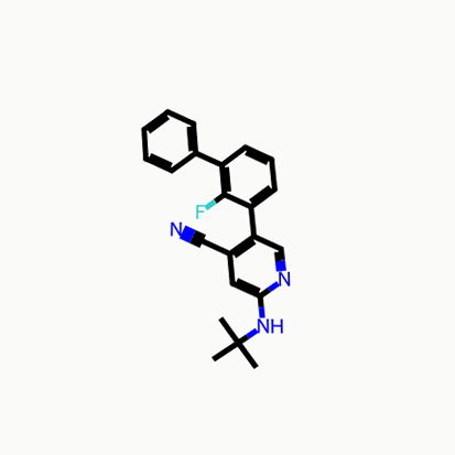 CC(C)(C)Nc1cc(C#N)c(-c2cccc(-c3ccccc3)c2F)cn1